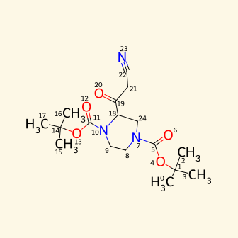 CC(C)(C)OC(=O)N1CCN(C(=O)OC(C)(C)C)C(C(=O)CC#N)C1